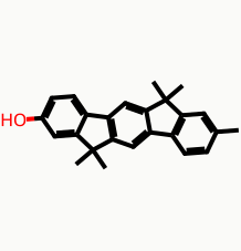 Cc1ccc2c(c1)C(C)(C)c1cc3c(cc1-2)C(C)(C)c1cc(O)ccc1-3